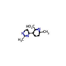 Cc1ccc(-c2ccnc(C)n2)c(C(=O)O)n1